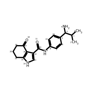 CC(C)C(N)c1ccc(NC(=O)c2c[nH]c3c2C(=O)CCC3)cc1